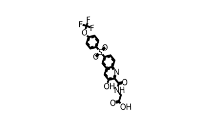 O=C(O)CNC(=O)c1nc2ccc(S(=O)(=O)c3ccc(OC(F)(F)F)cc3)cc2cc1O